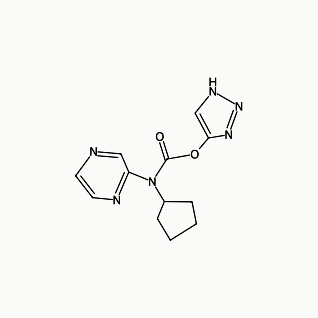 O=C(Oc1c[nH]nn1)N(c1cnccn1)C1CCCC1